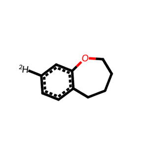 [2H]c1ccc2c(c1)OCCCC2